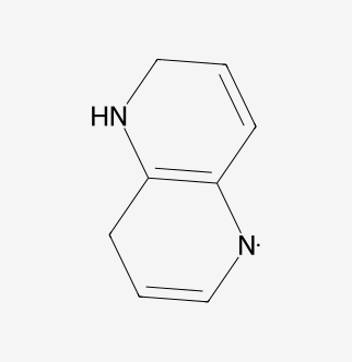 C1=CC2=C(CC=C[N]2)NC1